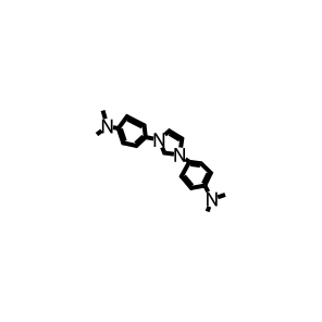 CN(C)c1ccc(N2C=CN(c3ccc(N(C)C)cc3)C2)cc1